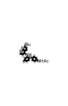 CCC(C)c1ccc2c(Nc3cc(C)ccc3Sc3ccc(NC(C)=O)cc3)ccnc2n1